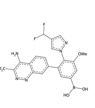 COc1cc(B(O)O)cc(-c2ccc3c(N)c(C(=O)O)nnc3c2)c1-n1cc(C(F)F)cn1